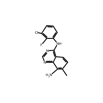 Cc1ccc2c(Nc3cccc(Cl)c3F)ncnc2c1N